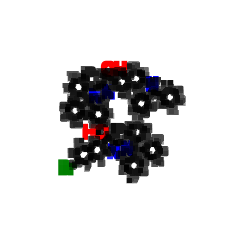 CC(C)C(O)(c1ccc2cc(Br)ccc2c1)c1cn(C(c2ccccc2)(c2ccccc2)c2ccccc2)cn1.CC(C)C(O)(c1ccc2cc(N=C(c3ccccc3)c3ccccc3)ccc2c1)c1cn(C(c2ccccc2)(c2ccccc2)c2ccccc2)cn1